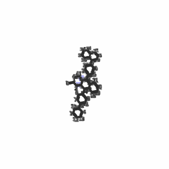 C=C/C=c1/c(-c2ccc(-c3ccccc3)cc2)c2ccccc2c(-c2ccc(-c3cccc4ccccc34)cc2)/c1=C/C